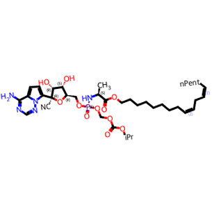 CCCCC/C=C\C/C=C\CCCCCCCCOC(=O)[C@H](C)N[P@@](=O)(OCOC(=O)OC(C)C)OC[C@H]1O[C@@](C#N)(c2ccc3c(N)ncnn23)[C@H](O)[C@@H]1O